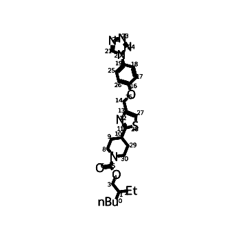 CCCCC(CC)COC(=O)N1CCC(c2nc(COc3ccc(-n4cnnn4)cc3)cs2)CC1